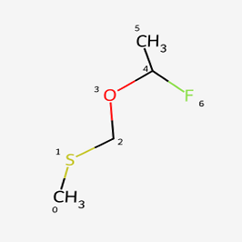 CSCOC(C)F